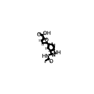 CC(=O)Nc1n[nH]c2ccc(C3CC=C(C(=O)O)O3)cc12